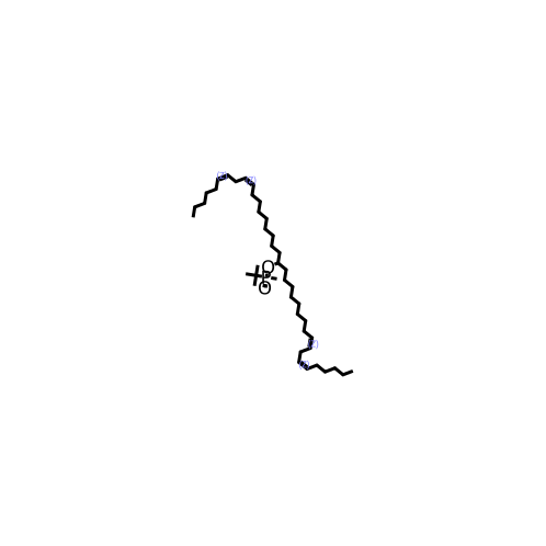 CCCCC/C=C\C/C=C\CCCCCCCCC(CCCCCCCC/C=C\C/C=C\CCCCC)OP(C)(=O)C(C)(C)C